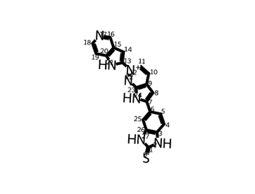 S=c1[nH]c2ccc(-c3cc4cc[n+](-c5cc6cnccc6[nH]5)nc4[nH]3)cc2[nH]1